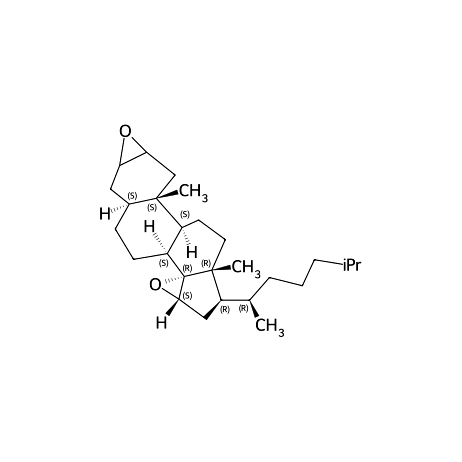 CC(C)CCC[C@@H](C)[C@H]1C[C@@H]2O[C@@]23[C@H]2CC[C@H]4CC5OC5C[C@]4(C)[C@H]2CC[C@]13C